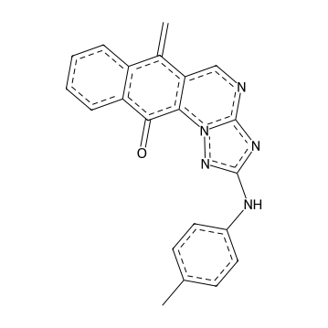 C=c1c2ccccc2c(=O)c2c1cnc1nc(Nc3ccc(C)cc3)nn12